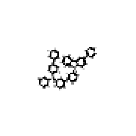 c1ccc(-c2ccc(N(c3ccccc3)c3cccc(-c4cccc(-n5c6ccccc6c6cc(-c7ccccc7)ccc65)c4)c3)cc2)cc1